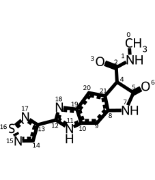 CNC(=O)C1C(=O)Nc2cc3[nH]c(-c4cnsn4)nc3cc21